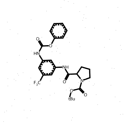 CC(C)(C)OC(=O)N1CCCC1C(=O)Nc1cc(NC(=O)Oc2ccccc2)cc(C(F)(F)F)c1